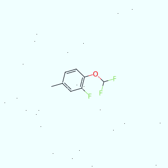 Cc1ccc(OC(F)F)c(F)c1